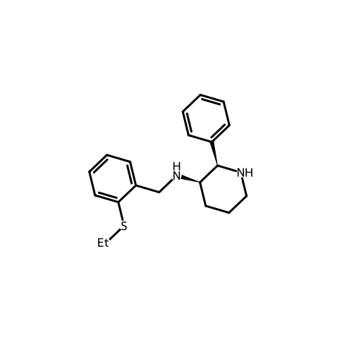 CCSc1ccccc1CN[C@@H]1CCCN[C@@H]1c1ccccc1